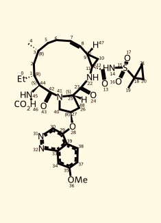 CC[C@@H]1C[C@H](C)CCC=C[C@@H]2C[C@@]2(C(=O)NS(=O)(=O)C2(C)CC2)NC(=O)[C@@H]2C[C@@H](Oc3cnnc4cc(OC)ccc34)CN2C(=O)[C@H]1NC(=O)O